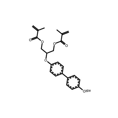 C=C(C)C(=O)OCC(COC(=O)C(=C)C)Oc1ccc(-c2ccc(OC)cc2)cc1